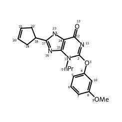 CCCn1c(Oc2cccc(OC)c2)nc(=O)c2c1N=C(C1CC=CC1)[N]2